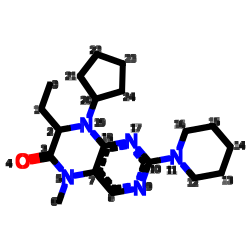 CCC1C(=O)N(C)c2cnc(N3CCCCC3)nc2N1C1CCCC1